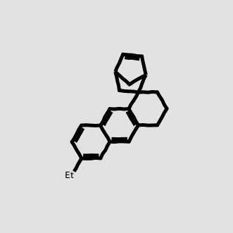 CCc1ccc2cc3c(cc2c1)CCCC31CC2C=CC1C2